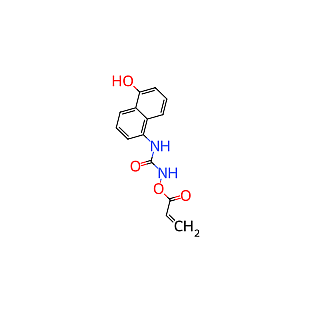 C=CC(=O)ONC(=O)Nc1cccc2c(O)cccc12